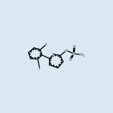 CS(=O)(=O)Oc1cccc(-c2c(F)cccc2F)n1